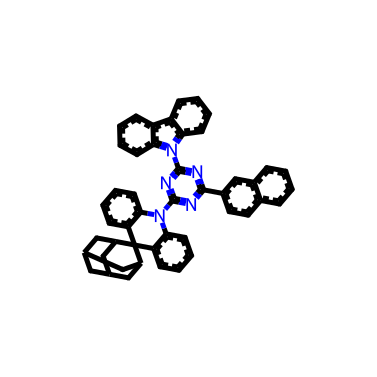 c1ccc2c(c1)N(c1nc(-c3ccc4ccccc4c3)nc(-n3c4ccccc4c4ccccc43)n1)c1ccccc1C21C2CC3CC(C2)CC1C3